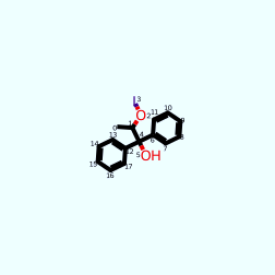 CC(OI)C(O)(c1ccccc1)c1ccccc1